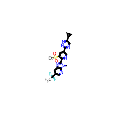 CCS(=O)(=O)c1cc(-c2ncc(C3CC3)nn2)cnc1-c1nc2cc(C(F)(F)C(F)(F)F)cnc2n1C